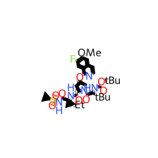 CC[C@@H]1C[C@]1(NC(=O)[C@@H]1C[C@@H](Oc2nccc3cc(OC)c(F)cc23)CN1C(=O)[C@@H](NC(=O)OC(C)(C)C)C(C)(C)C)C(=O)NS(=O)(=O)C1CC1